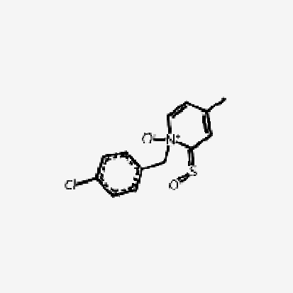 CC1=CC(=S=O)[N+]([O-])(Cc2ccc(Cl)cc2)C=C1